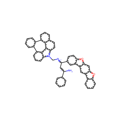 N/C(=C\C(=N/Cn1c2cccc3c2c2c4c(cccc4ccc21)-c1ccccc1-3)c1ccc2oc3cc4oc5ccccc5c4cc3c2c1)c1ccccc1